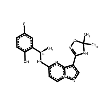 C[C@@H](Nc1ccn2ncc(C3=NOC(C)(C)N3)c2n1)c1cc(F)ccc1O